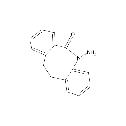 NN1C(=O)c2ccccc2CCc2ccccc21